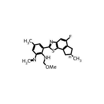 C=Nc1cc(C)cc(-c2nc3cc(F)c4c(c3s2)C[C@H](C)C4)c1NCOC